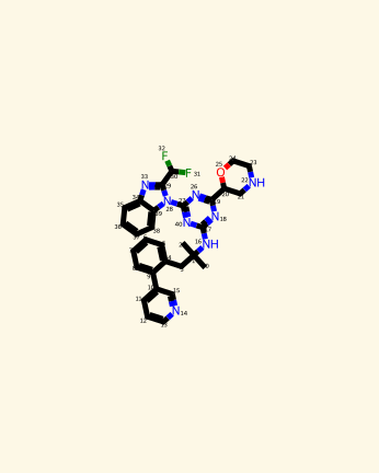 CC(C)(Cc1ccccc1-c1cccnc1)Nc1nc(C2CNCCO2)nc(-n2c(C(F)F)nc3ccccc32)n1